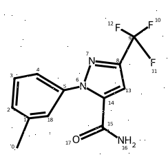 Cc1cccc(-n2nc(C(F)(F)F)cc2C(N)=O)c1